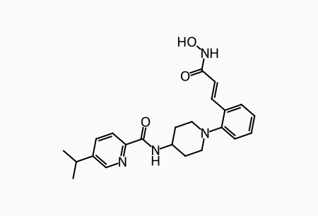 CC(C)c1ccc(C(=O)NC2CCN(c3ccccc3C=CC(=O)NO)CC2)nc1